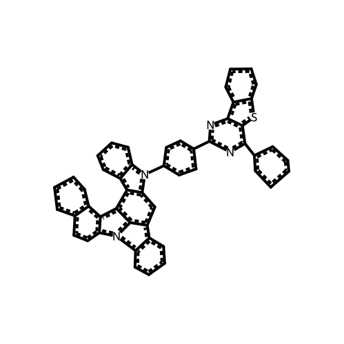 c1ccc(-c2nc(-c3ccc(-n4c5ccccc5c5c6c7c8ccccc8ccc7n7c8ccccc8c(cc54)c67)cc3)nc3c2sc2ccccc23)cc1